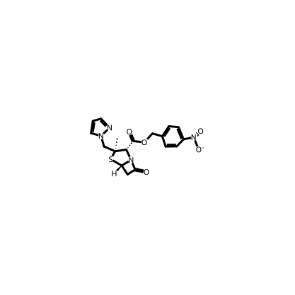 C[C@@]1(Cn2cccn2)S[C@H]2CC(=O)N2[C@H]1C(=O)OCc1ccc([N+](=O)[O-])cc1